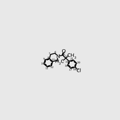 CC(C)(C(=O)N1CCc2ccccc2C1)c1ccc(Cl)cc1